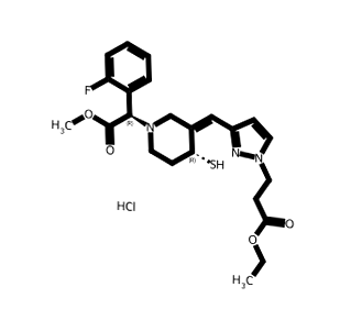 CCOC(=O)CCn1ccc(C=C2CN([C@@H](C(=O)OC)c3ccccc3F)CC[C@H]2S)n1.Cl